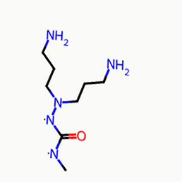 C[N]C(=O)[N]N(CCCN)CCCN